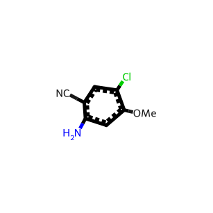 COc1cc(N)c(C#N)cc1Cl